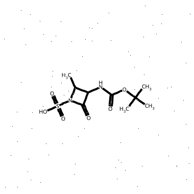 CC1C(NC(=O)OC(C)(C)C)C(=O)N1S(=O)(=O)O